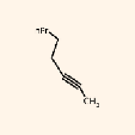 CC#CC[CH]CCC